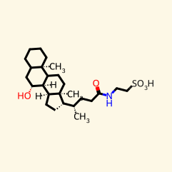 C[C@@H](CCC(=O)NCCS(=O)(=O)O)[C@@H]1CC[C@H]2[C@@H]3C(CC[C@]21C)[C@]1(C)CCCCC1C[C@H]3O